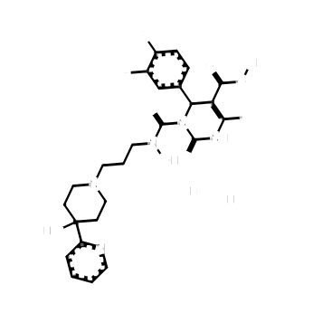 COC(=O)C1=C(C)NC(=O)N(C(=O)N(O)CCCN2CCC(O)(c3ccccn3)CC2)C1c1ccc(F)c(F)c1.Cl.Cl